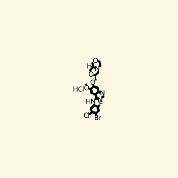 COc1cc2c(Nc3cc(Cl)c(Br)cc3F)ncnc2cc1OC[C@@H]1CN2CCOC[C@H]2CO1.Cl